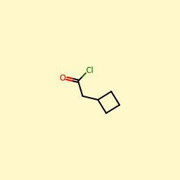 O=C(Cl)CC1CCC1